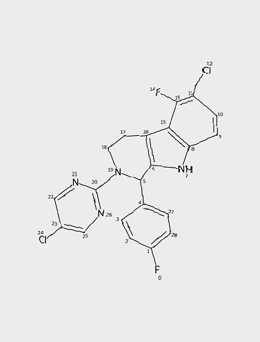 Fc1ccc(C2c3[nH]c4ccc(Cl)c(F)c4c3CCN2c2ncc(Cl)cn2)cc1